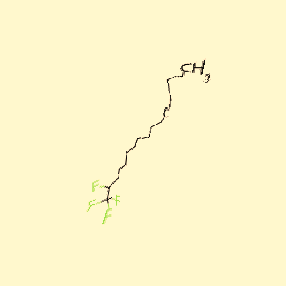 CCCCCCCCCCCCCCC(F)C(F)(F)F